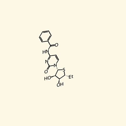 CC[C@H]1S[C@@H](n2ccc(NC(=O)c3ccccc3)nc2=O)[C@H](O)[C@@H]1O